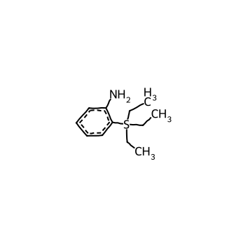 CCS(CC)(CC)c1ccccc1N